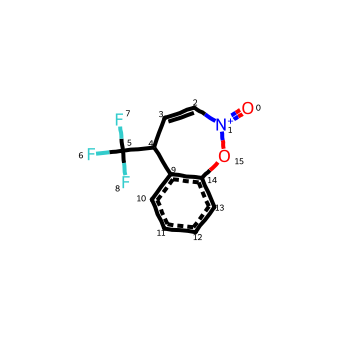 O=[N+]1C=CC(C(F)(F)F)c2ccccc2O1